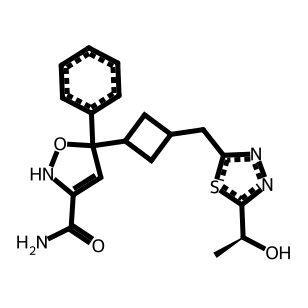 C[C@H](O)c1nnc(CC2CC(C3(c4ccccc4)C=C(C(N)=O)NO3)C2)s1